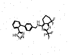 FC(F)(F)c1nc(NCc2ccc(-c3ccccc3-c3nnn[nH]3)cc2)c2c(n1)C(F)(F)CCC2